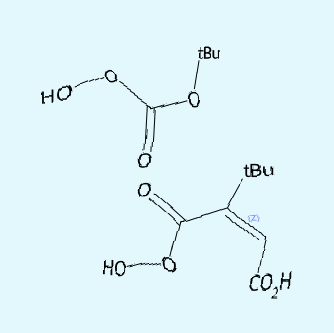 CC(C)(C)/C(=C/C(=O)O)C(=O)OO.CC(C)(C)OC(=O)OO